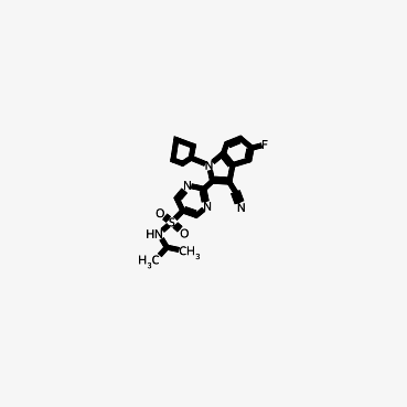 CC(C)NS(=O)(=O)c1cnc(-c2c(C#N)c3cc(F)ccc3n2C2CCCC2)nc1